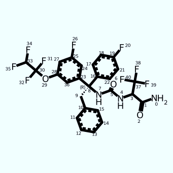 NC(=O)C(NC(=O)N[C@](Cc1ccccc1)(c1ccc(F)cc1)c1cc(F)cc(OC(F)(F)C(F)F)c1)C(F)(F)F